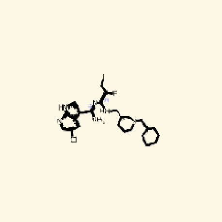 N/C(=N\C(NC[C@@H]1CCCN(CC2CCCCC2)C1)=C(\F)CI)c1c[nH]c2ncc(Cl)cc12